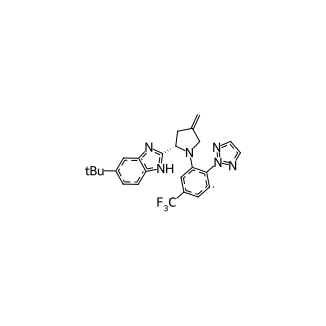 C=C1C[C@@H](c2nc3cc(C(C)(C)C)ccc3[nH]2)N(c2cc(C(F)(F)F)c[c]c2-n2nccn2)C1